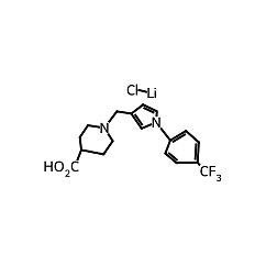 O=C(O)C1CCN(Cc2ccn(-c3ccc(C(F)(F)F)cc3)c2)CC1.[Li][Cl]